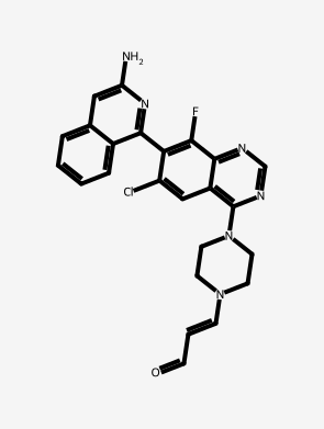 Nc1cc2ccccc2c(-c2c(Cl)cc3c(N4CCN(C=CC=O)CC4)ncnc3c2F)n1